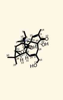 C/C=C(\C)C(=O)O[C@@]12C[C@@H](C)[C@@]3(O)[C@@H](C=C(CO)C[C@]4(O)C(=O)C(C)=C[C@@H]34)[C@H]1C2(C)C